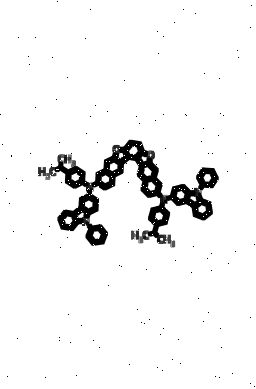 CC(C)c1ccc(N(c2ccc3cc4c(cc3c2)oc2ccc3oc5cc6cc(N(c7ccc(C(C)C)cc7)c7ccc8c(c7)c7ccccc7n8-c7ccccc7)ccc6cc5c3c24)c2ccc3c(c2)c2ccccc2n3-c2ccccc2)cc1